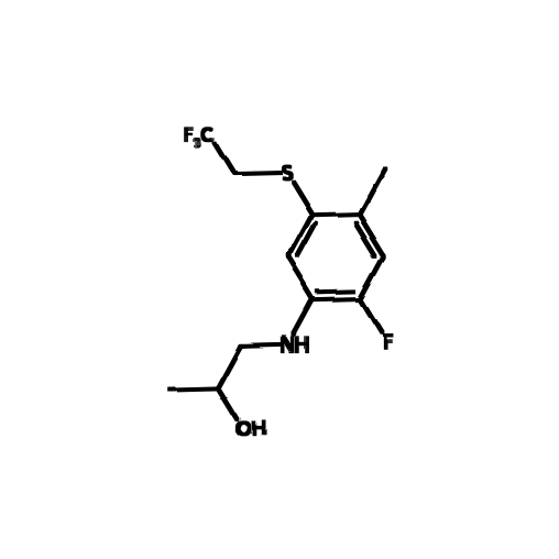 Cc1cc(F)c(NCC(C)O)cc1SCC(F)(F)F